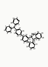 c1ccc(C(c2ccccc2)c2ccc(-c3ccc4c5ccccc5n5c6ccccc6nc5c4c3)cc2)cc1